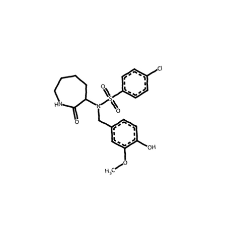 COc1cc(CN(C2CCCCNC2=O)S(=O)(=O)c2ccc(Cl)cc2)ccc1O